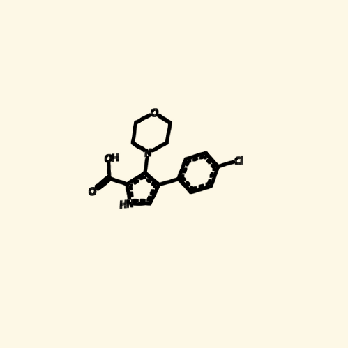 O=C(O)c1[nH]cc(-c2ccc(Cl)cc2)c1N1CCOCC1